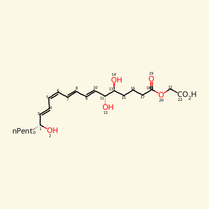 CCCCC[C@@H](O)/C=C/C=C\C=CC=C[C@@H](O)[C@@H](O)CCCC(=O)OCC(=O)O